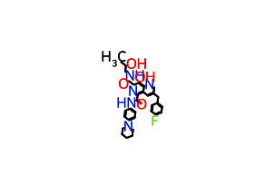 CCC(O)CNC(=O)c1nc(C(=O)Nc2ccc(N3CCCCC3)cc2)c2cc(Cc3ccc(F)cc3)cnc2c1O